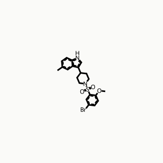 COc1ccc(Br)cc1S(=O)(=O)N1CCC(c2c[nH]c3ccc(C)cc23)CC1